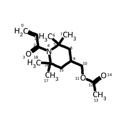 C=CC(=O)N1C(C)(C)CC(COC(C)=O)CC1(C)C